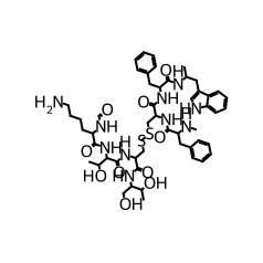 CNC(Cc1ccccc1)C(=O)NC(CSSCC(NC(=O)C(NC(=O)C(CCCCN)NC=O)C(C)O)C(=O)NC(CO)C(C)O)C(=O)NC(Cc1ccccc1)C(=O)NC(C)Cc1c[nH]c2ccccc12